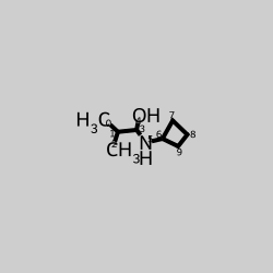 CC(C)C(O)NC1CCC1